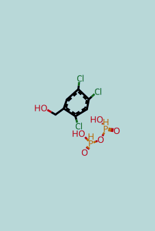 O=[PH](O)O[PH](=O)O.OCc1cc(Cl)c(Cl)cc1Cl